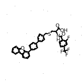 O=C(NC(CSCc1ccc(-c2ccc(-c3cccc4c3oc3ccccc34)cc2)cc1)C(=O)O)c1ccc(C(F)(F)F)cc1F